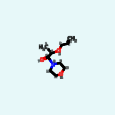 C=CCO[C@H](C)C(=O)N1CCOCC1